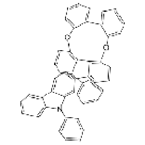 c1ccc(-c2cccc3c2-c2c(cccc2-c2ccc4c5ccccc5n(-c5ccccc5)c4c2)Oc2ccccc2-c2ccccc2O3)cc1